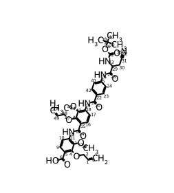 C=CCOc1c(C(=O)O)ccc(NC(=O)c2ccc(NC(=O)c3ccc(NC(=O)C(CC#N)NC(=O)OC(C)(C)C)cc3)c(OC)c2OCC=C)c1OC